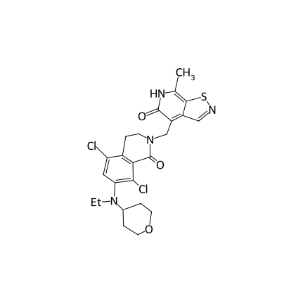 CCN(c1cc(Cl)c2c(c1Cl)C(=O)N(Cc1c(=O)[nH]c(C)c3sncc13)CC2)C1CCOCC1